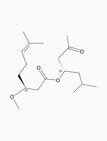 CO[C@@H](CCC=C(C)C)CC(=O)O[C@H](CC(C)=O)CC(C)C